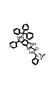 CN(C)C[C@@H](NC(=O)c1nc2cc3c(-c4ccncc4)nn(C(c4ccccc4)(c4ccccc4)c4ccccc4)c3cc2[nH]1)c1ccccc1